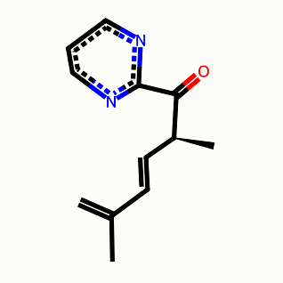 C=C(C)/C=C/[C@H](C)C(=O)c1ncccn1